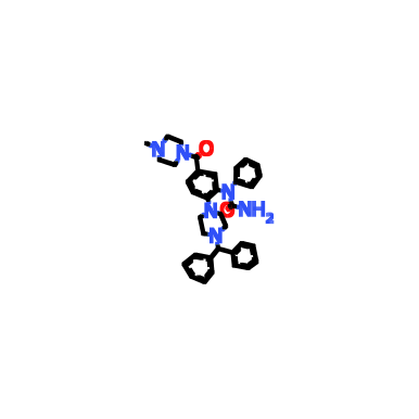 CN1CCN(C(=O)c2ccc(N3CCN(C(c4ccccc4)c4ccccc4)CC3)c(N(C(N)=O)c3ccccc3)c2)CC1